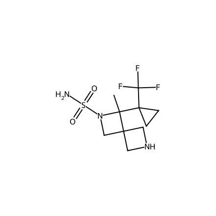 CC1(C2(C(F)(F)F)CC2)N(S(N)(=O)=O)CC12CNC2